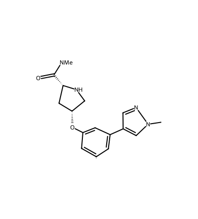 CNC(=O)[C@H]1C[C@@H](Oc2c[c]cc(-c3cnn(C)c3)c2)CN1